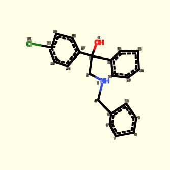 OC(CNCc1ccccc1)(c1ccccc1)c1ccc(Cl)cc1